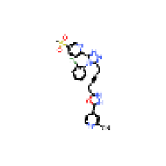 CS(=O)(=O)c1ccc(-c2nnc(CC#CCc3nnc(-c4ccnc(C#N)c4)o3)n2-c2ccccc2Cl)nc1